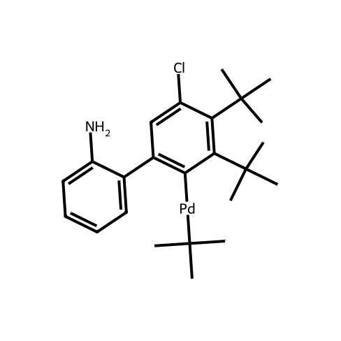 C[C](C)(C)[Pd][c]1c(-c2ccccc2N)cc(Cl)c(C(C)(C)C)c1C(C)(C)C